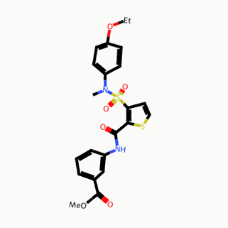 CCOc1ccc(N(C)S(=O)(=O)c2ccsc2C(=O)Nc2cccc(C(=O)OC)c2)cc1